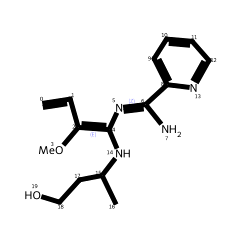 C=C/C(OC)=C(\N=C(/N)c1ccccn1)NC(C)CCO